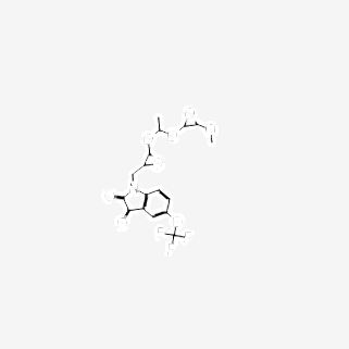 COC1OC1OC(C)OC1OC1CN1C(=O)C(=O)c2cc(OC(F)(F)F)ccc21